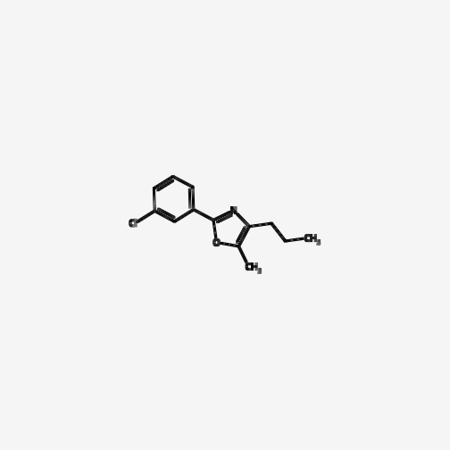 CCCc1nc(-c2cccc(Cl)c2)oc1C